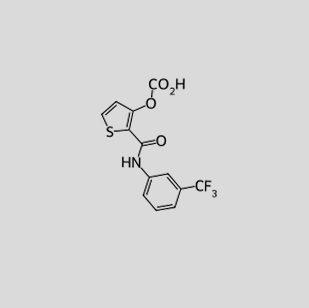 O=C(O)Oc1ccsc1C(=O)Nc1cccc(C(F)(F)F)c1